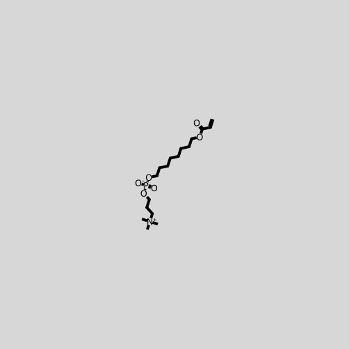 C=CC(=O)OCCCCCCCCOP(=O)([O-])OCCC[N+](C)(C)C